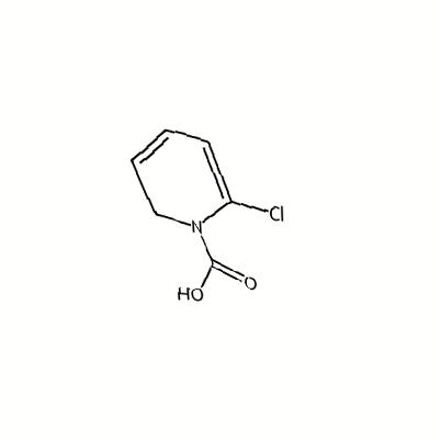 O=C(O)N1CC=CC=C1Cl